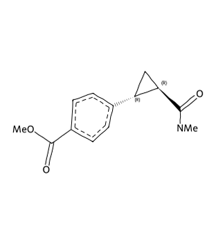 CNC(=O)[C@@H]1C[C@H]1c1ccc(C(=O)OC)cc1